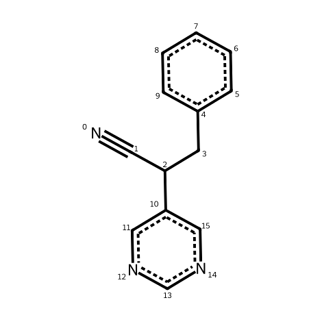 N#CC(Cc1ccccc1)c1cncnc1